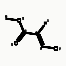 COC(=O)C(F)=CCl